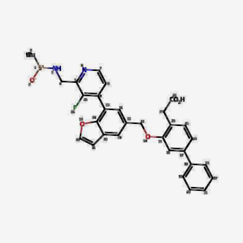 CC(C)(C)[S+]([O-])NCc1nccc(-c2cc(COc3cc(-c4ccccc4)ccc3CC(=O)O)cc3ccoc23)c1F